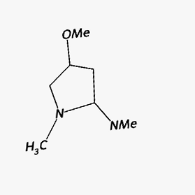 CNC1CC(OC)CN1C